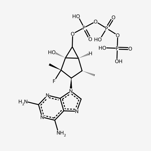 C[C@@H]1[C@@H](n2cnc3c(N)nc(N)nc32)[C@](C)(F)[C@@]2(O)C(OP(=O)(O)OP(=O)(O)OP(=O)(O)O)[C@@H]12